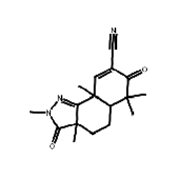 CN1N=C2C(C)(CCC3C(C)(C)C(=O)C(C#N)=CC23C)C1=O